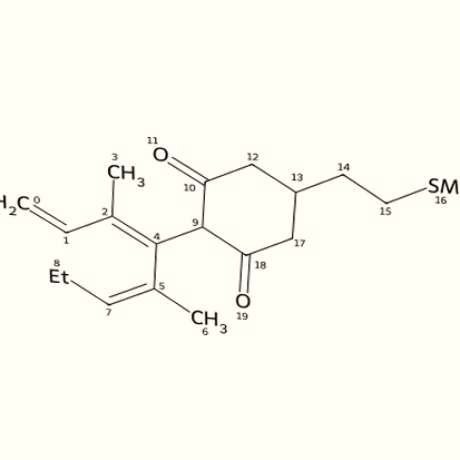 C=C/C(C)=C(\C(C)=C/CC)C1C(=O)CC(CCSC)CC1=O